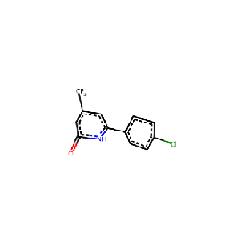 O=c1cc(C(F)(F)F)cc(-c2ccc(Cl)cc2)[nH]1